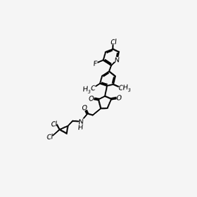 Cc1cc(-c2ncc(Cl)cc2F)cc(C)c1C1C(=O)CC(CC(=O)NCC2CC2(Cl)Cl)C1=O